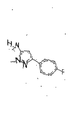 Cn1nc(-c2ccc(F)cc2)cc1N